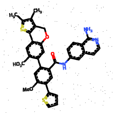 COc1cc(-c2cc3c(cc2C(=O)O)-c2sc(C)c(C)c2CO3)c(C(=O)Nc2ccc3c(N)nccc3c2)cc1-c1cccs1